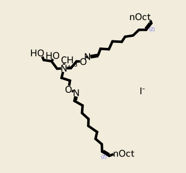 CCCCCCCC/C=C\CCCCCCCC=NOCC[N+](C)(CCON=CCCCCCCC/C=C\CCCCCCCC)CC(O)CO.[I-]